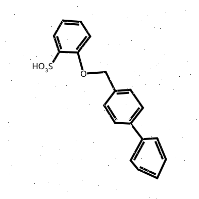 O=S(=O)(O)c1ccccc1OCc1ccc(-c2ccccc2)cc1